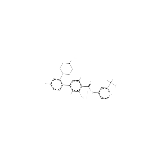 Nc1c(F)c(-c2ccc(F)cc2C2CCC(O)CC2)cc(Cl)c1C(=O)Nc1ccnc(C(F)(F)F)c1